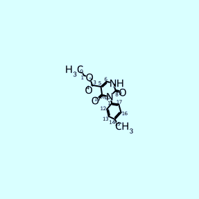 CCOC(=O)c1c[nH]c(=O)n(-c2ccc(C)cc2)c1=O